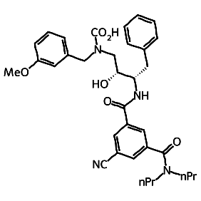 CCCN(CCC)C(=O)c1cc(C#N)cc(C(=O)N[C@@H](Cc2ccccc2)[C@H](O)CN(Cc2cccc(OC)c2)C(=O)O)c1